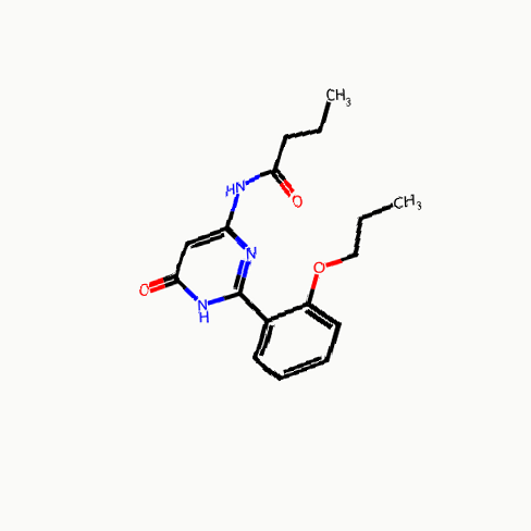 CCCOc1ccccc1-c1nc(NC(=O)CCC)cc(=O)[nH]1